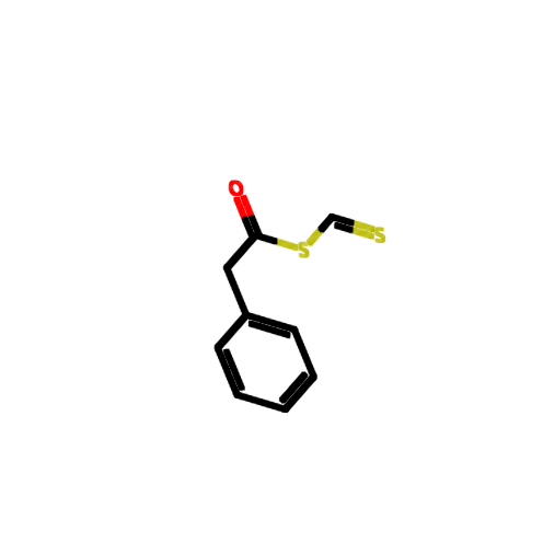 O=C(Cc1ccccc1)SC=S